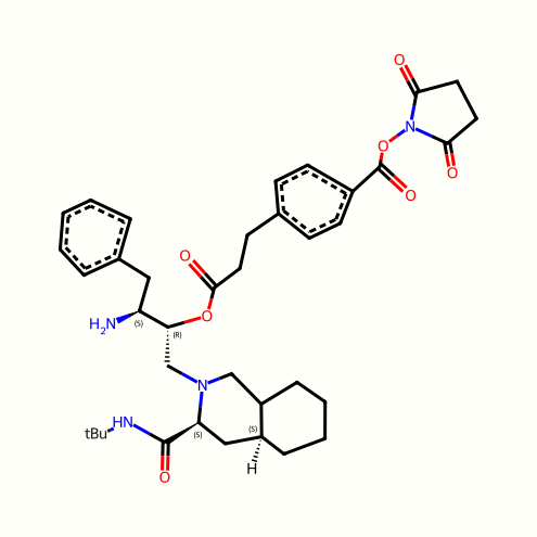 CC(C)(C)NC(=O)[C@@H]1C[C@@H]2CCCCC2CN1C[C@@H](OC(=O)CCc1ccc(C(=O)ON2C(=O)CCC2=O)cc1)[C@@H](N)Cc1ccccc1